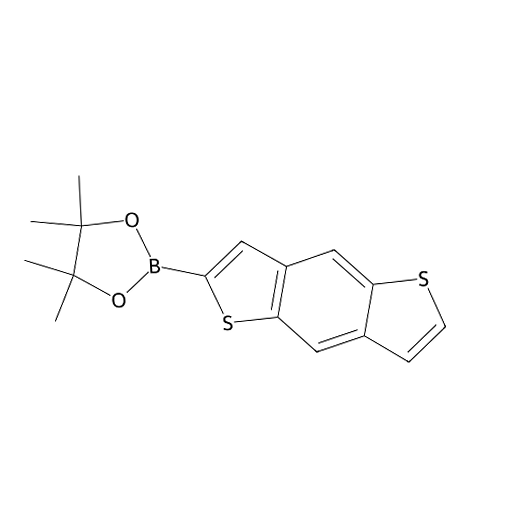 CC1(C)OB(c2cc3cc4sccc4cc3s2)OC1(C)C